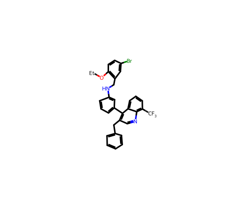 CCOc1ccc(Br)cc1CNc1cccc(-c2c(Cc3ccccc3)cnc3c(C(F)(F)F)cccc23)c1